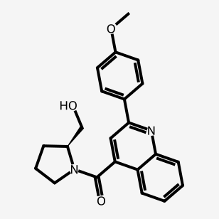 COc1ccc(-c2cc(C(=O)N3CCC[C@H]3CO)c3ccccc3n2)cc1